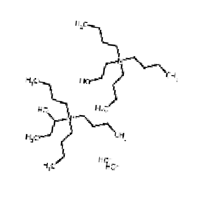 CCCC[N+](CCCC)(CCCC)C(O)CC.CCCC[N+](CCO)(CCCC)CCCC.[OH-].[OH-]